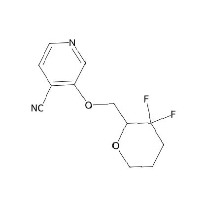 N#Cc1ccncc1OCC1OCCCC1(F)F